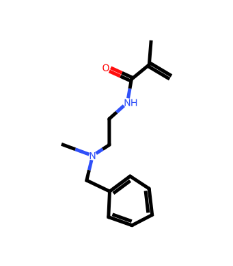 C=C(C)C(=O)NCCN(C)Cc1ccccc1